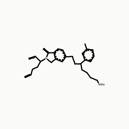 C=CCCC(C=C)N1Cc2cc(CCC(CCCCNC)c3cccc(C)c3)ccc2C1=C